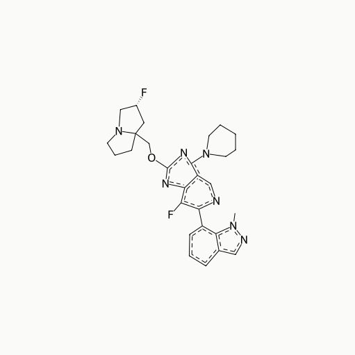 Cn1ncc2cccc(-c3ncc4c(N5CCCCC5)nc(OCC56CCCN5C[C@H](F)C6)nc4c3F)c21